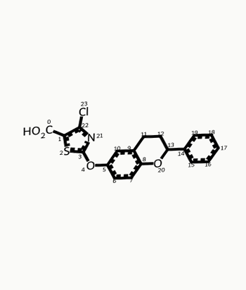 O=C(O)c1sc(Oc2ccc3c(c2)CCC(c2ccccc2)O3)nc1Cl